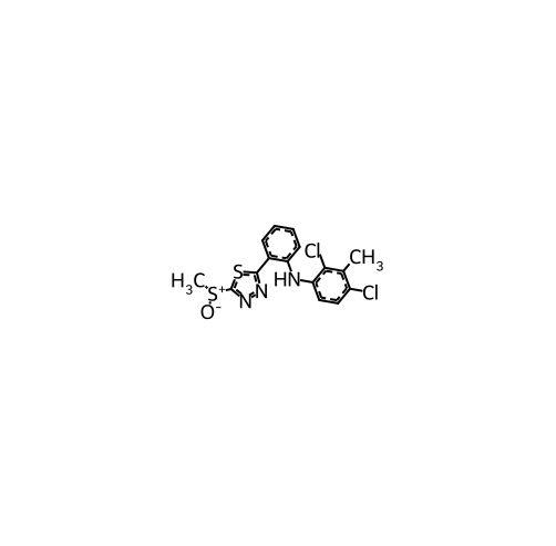 Cc1c(Cl)ccc(Nc2ccccc2-c2nnc([S+](C)[O-])s2)c1Cl